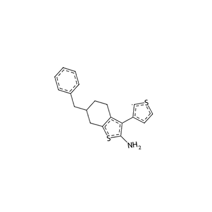 Nc1sc2c(c1-c1[c]scc1)CCC(Cc1ccccc1)C2